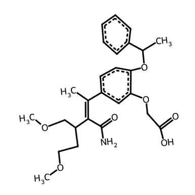 COCCC(COC)C(C(N)=O)=C(C)c1ccc(OC(C)c2ccccc2)c(OCC(=O)O)c1